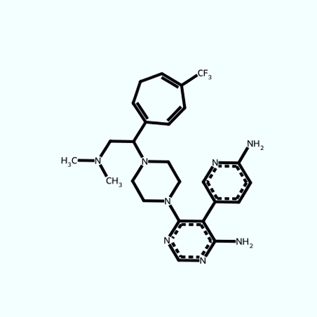 CN(C)CC(C1=CCC=C(C(F)(F)F)C=C1)N1CCN(c2ncnc(N)c2-c2ccc(N)nc2)CC1